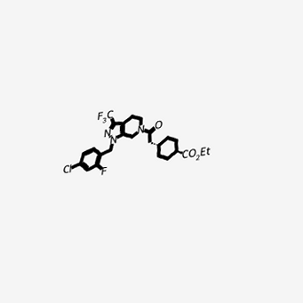 CCOC(=O)[C@H]1CC[C@H](CC(=O)N2CCc3c(C(F)(F)F)nn(Cc4ccc(Cl)cc4F)c3C2)CC1